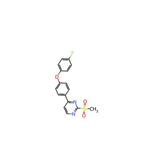 CS(=O)(=O)c1nccc(-c2ccc(Oc3ccc(F)cc3)cc2)n1